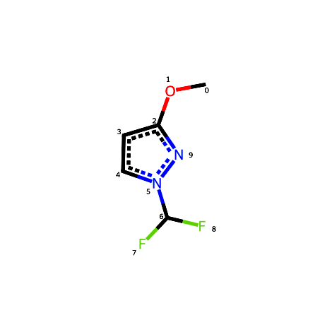 COc1ccn(C(F)F)n1